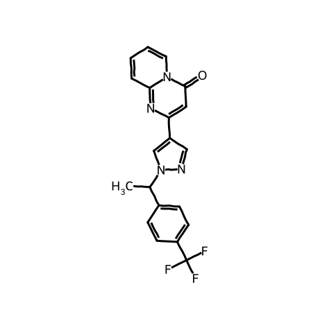 CC(c1ccc(C(F)(F)F)cc1)n1cc(-c2cc(=O)n3ccccc3n2)cn1